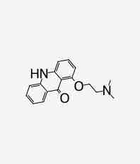 CN(C)CCOc1cccc2[nH]c3ccccc3c(=O)c12